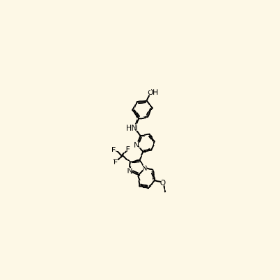 COc1ccc2nc(C(F)(F)F)c(-c3cccc(Nc4ccc(O)cc4)n3)n2c1